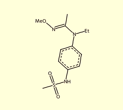 CCN(C(C)=NOC)c1ccc(NS(C)(=O)=O)cc1